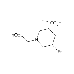 CC(=O)O.CCCCCCCCCN1CCCC(CC)C1